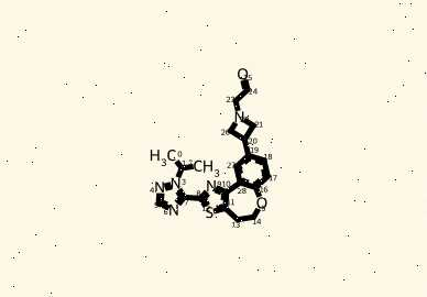 CC(C)n1ncnc1-c1nc2c(s1)CCOc1ccc(C3CN(CC=O)C3)cc1-2